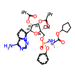 CC(C)C(=O)O[C@H]1[C@H](c2ccc3c(N)ncnn23)O[C@](C#N)(COP(=O)(N[C@@H](C)C(=O)OC2CCCC2)Oc2ccccc2)[C@H]1OC(=O)C(C)C